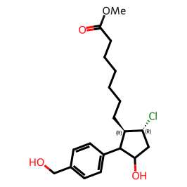 COC(=O)CCCCCC[C@@H]1C(c2ccc(CO)cc2)C(O)C[C@H]1Cl